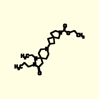 CCCN1C(=O)CC2(CCN(C3CC4(CCN(C(=O)OCC)C4)C3)CC2)N1CC